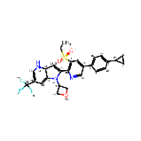 CCS(=O)(=O)c1cc(-c2ccc(C3CC3)cc2)cnc1C1=CC2NC=C(C(F)(F)F)C=C2N1C1COC1